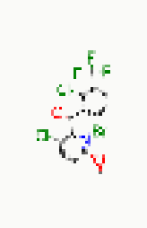 COc1ccc(Cl)c(C(=O)c2c(Br)ccc(C(F)(F)F)c2Cl)n1